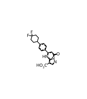 O=C(O)c1cnn2c(=O)cc(-c3ccc(C4CCC(F)(F)CC4)cc3)[nH]c12